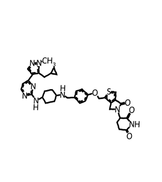 Cn1ncc(-c2ccnc(NC3CCC(NCc4ccc(OCc5scc6c5CN(C5CCC(=O)NC5=O)C6=O)cc4)CC3)n2)c1CC1CC1